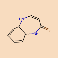 S=C1C=CNC2C=CC=CC2N1